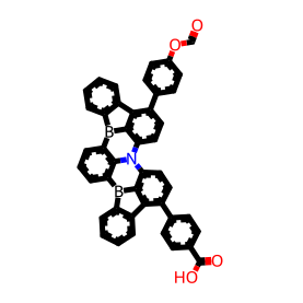 O=COc1ccc(-c2ccc3c4c2-c2ccccc2B4c2cccc4c2N3c2ccc(-c3ccc(C(=O)O)cc3)c3c2B4c2ccccc2-3)cc1